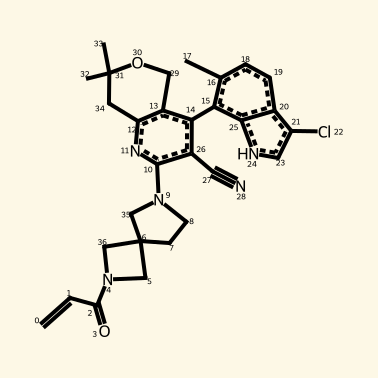 C=CC(=O)N1CC2(CCN(c3nc4c(c(-c5c(C)ccc6c(Cl)c[nH]c56)c3C#N)COC(C)(C)C4)C2)C1